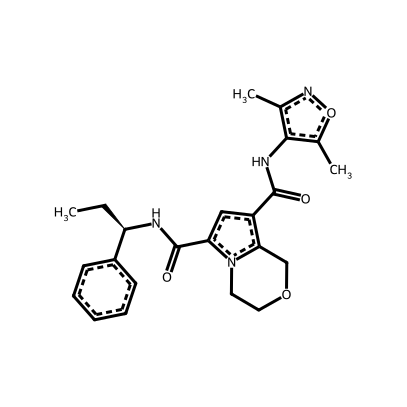 CC[C@@H](NC(=O)c1cc(C(=O)Nc2c(C)noc2C)c2n1CCOC2)c1ccccc1